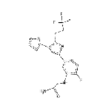 NC(=O)CNc1nc(-c2cc(-c3ccon3)n(CCC(F)(F)F)n2)ncc1F